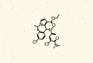 C=C(/C=C(/Cl)C(=O)N(C)C)N(C)C(c1ccc(Cl)cc1C)c1c(C(=O)OCC)ccn1C(C)C